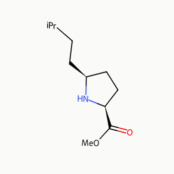 COC(=O)[C@@H]1CC[C@H](CCC(C)C)N1